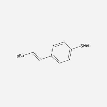 CCCCC=Cc1ccc(SC)cc1